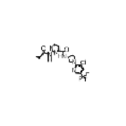 O=C(N[C@@H]1CCN(c2ncc(C(F)(F)F)cc2Cl)C1)c1ccnc(NC(=O)C2CC2)n1